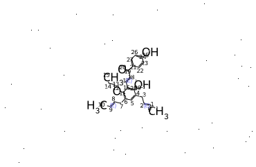 C/C=C/Cc1cc(C/C=C/C)c(OCCC)c(/C=C/C(=O)c2ccc(O)cc2)c1O